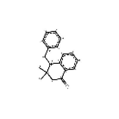 CC1(C)CC(=O)c2ccccc2N1Cc1ccccc1